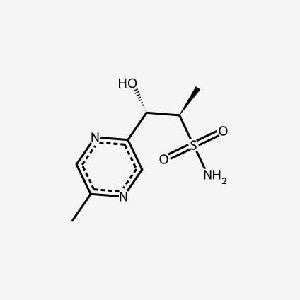 Cc1cnc([C@H](O)[C@@H](C)S(N)(=O)=O)cn1